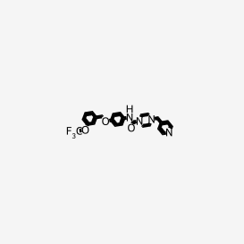 O=C(Nc1ccc(OCc2cccc(OC(F)(F)F)c2)cc1)N1CCN(Cc2ccncc2)CC1